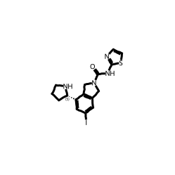 O=C(Nc1nccs1)N1Cc2cc(I)cc([C@@H]3CCCN3)c2C1